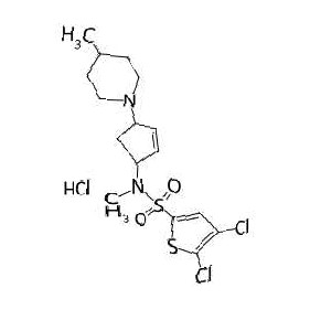 CC1CCN(C2C=CC(N(C)S(=O)(=O)c3cc(Cl)c(Cl)s3)C2)CC1.Cl